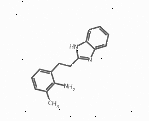 Cc1cccc(CCc2nc3ccccc3[nH]2)c1N